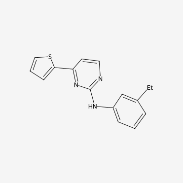 CCc1cccc(Nc2nccc(-c3cccs3)n2)c1